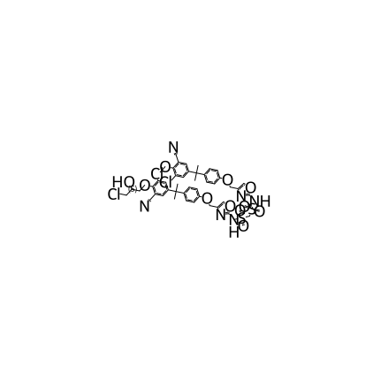 COc1c(Cl)cc(C(C)(C)c2ccc(OCc3coc(NS(=O)(=O)CS(=O)(=O)Nc4nc(COc5ccc(C(C)(C)c6cc(Cl)c(OC[C@H](O)CCl)c(C#N)c6)cc5)co4)n3)cc2)cc1C#N